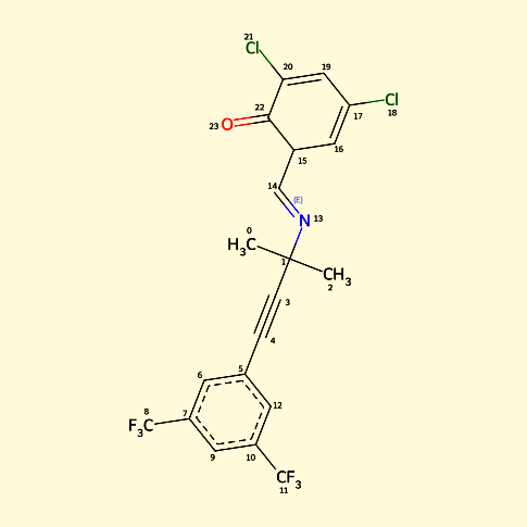 CC(C)(C#Cc1cc(C(F)(F)F)cc(C(F)(F)F)c1)/N=C/C1C=C(Cl)C=C(Cl)C1=O